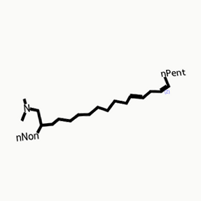 CCCCC/C=C\CC=CCCCCCCCCCC(CCCCCCCCC)CN(C)C